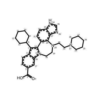 O=C(O)c1ccc2c(C3CCCCC3)c3n(c2c1)CCN(CCN1CCCCC1)c1c-3ccc2[nH]cnc12